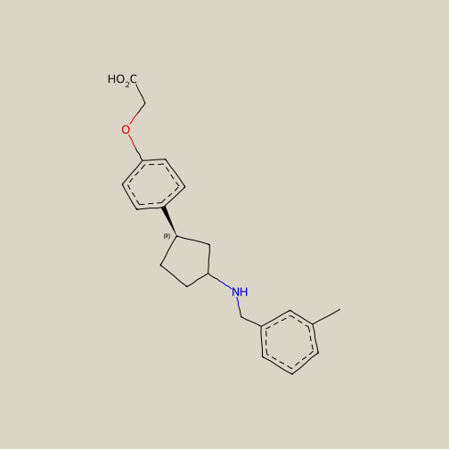 Cc1cccc(CNC2CC[C@@H](c3ccc(OCC(=O)O)cc3)C2)c1